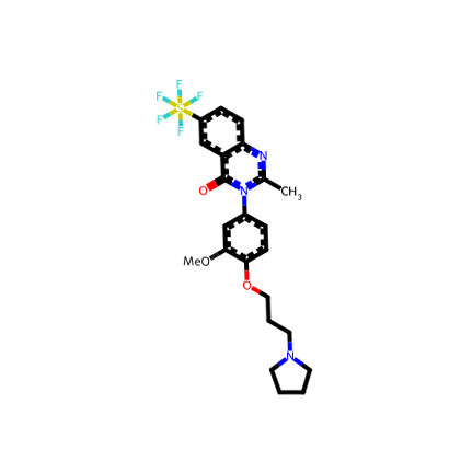 COc1cc(-n2c(C)nc3ccc(S(F)(F)(F)(F)F)cc3c2=O)ccc1OCCCN1CCCC1